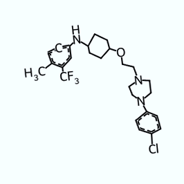 Cc1ccc(NC2CCC(OCCN3CCN(c4ccc(Cl)cc4)CC3)CC2)cc1C(F)(F)F